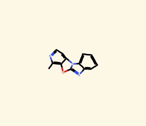 Cc1nccc2c1oc1nc3ccccc3n12